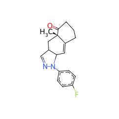 C[C@]12CC3C=NN(c4ccc(F)cc4)C3C=C1CCCC2=O